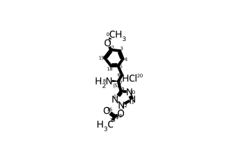 COc1ccc(C[C@H](N)c2nnn(OC(C)=O)n2)cc1.Cl